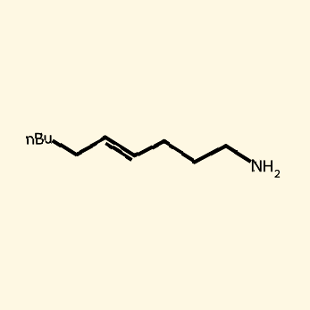 CCCCC/C=C/CCCN